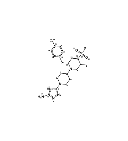 CC1CN(C2CCN(c3nnc(N)[nH]3)CC2)C(Cc2ccc(Cl)cc2)CN1S(C)(=O)=O